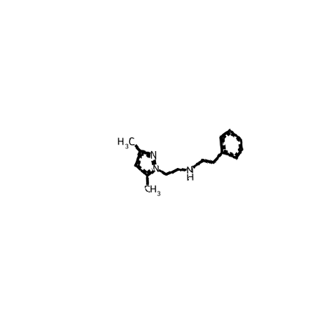 Cc1cc(C)n(CCNCCc2ccccc2)n1